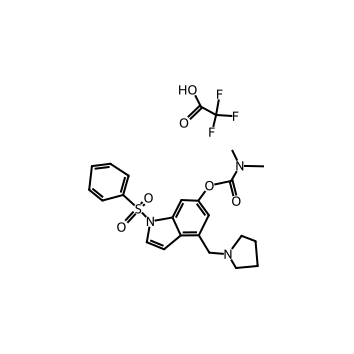 CN(C)C(=O)Oc1cc(CN2CCCC2)c2ccn(S(=O)(=O)c3ccccc3)c2c1.O=C(O)C(F)(F)F